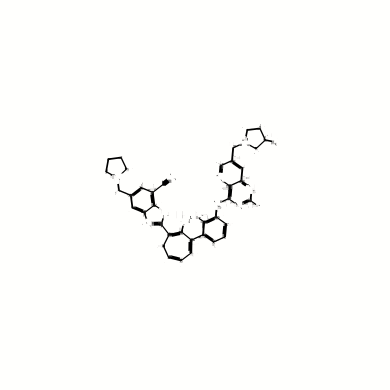 CC1=C(c2nc3cc(CN4CCCC4)cc(C#N)c3o2)CC=CC=C1c1cccc(Nc2nc(C)nc3cc(CN4CCC(O)C4)cnc23)c1C